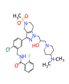 CN(C)C1CCN(CC(O)Cn2nc(-c3ccc(Cl)c(CNC(=O)c4ccccc4F)c3)c3c2CCN(S(C)(=O)=O)C3)CC1